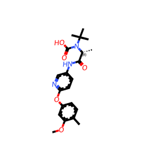 COc1cc(Oc2ccc(NC(=O)[C@@H](C)N(C(=O)O)C(C)(C)C)cn2)ccc1C